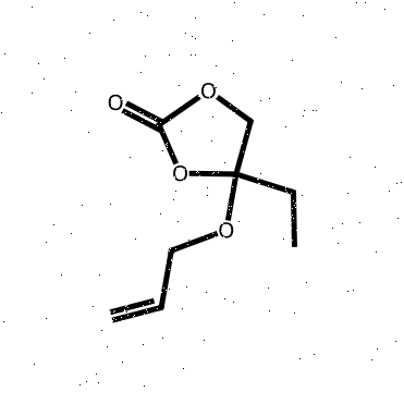 C=CCOC1(CC)COC(=O)O1